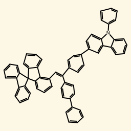 C(=C(/c1ccc(-c2ccccc2)cc1)c1ccc(-c2ccc3c(c2)c2ccccc2n3-c2ccccc2)cc1)/c1cccc2c1-c1ccccc1C21c2ccccc2-c2ccccc21